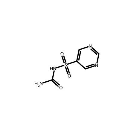 NC(=O)NS(=O)(=O)c1cncnc1